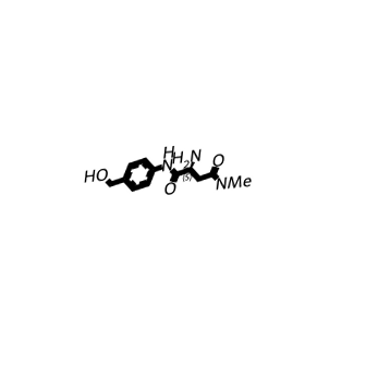 CNC(=O)C[C@H](N)C(=O)Nc1ccc(CO)cc1